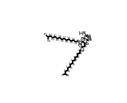 CC(C)CCCCCCCCCCCCCOC(=O)CC(Sc1nnc(S)s1)C(=O)OCCCCCCCCCCCCCC(C)C